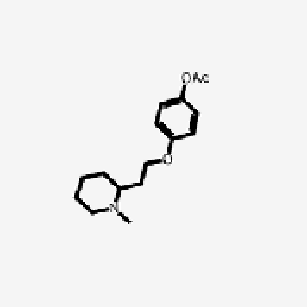 CC(=O)Oc1ccc(OCCC2CCCCN2C)cc1